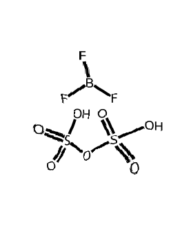 FB(F)F.O=S(=O)(O)OS(=O)(=O)O